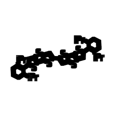 CC(C)C1=C(c2cc3sc4cc(-c5cc6sc7cc(C8=C(C(C)C)C=CCC8C(C)C)sc7c6s5)sc4c3s2)C(C(C)C)CC=C1